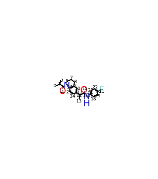 CC(C)C(=O)N1CCCc2cc(C(C)C(=O)Nc3ccc(F)cc3)ccc21